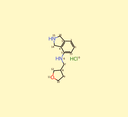 Cl.c1cc2c(c(NCC3CCOC3)c1)CNC2